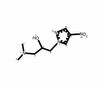 CN(C)CC(O)Cn1cc([N+](=O)[O-])cn1